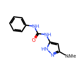 CNc1cc(NC(=O)Nc2ccccc2)[nH]n1